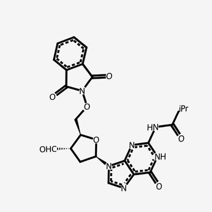 CC(C)C(=O)Nc1nc2c(ncn2[C@H]2C[C@H](C=O)[C@@H](CON3C(=O)c4ccccc4C3=O)O2)c(=O)[nH]1